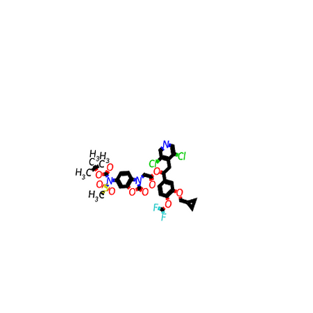 CC(C)(C)OC(=O)N(c1ccc2c(c1)oc(=O)n2CC(=O)OC(Cc1c(Cl)cncc1Cl)c1ccc(OC(F)F)c(OCC2CC2)c1)S(C)(=O)=O